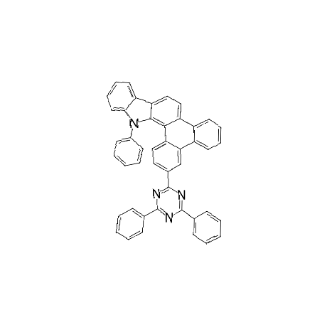 c1ccc(-c2nc(-c3ccccc3)nc(-c3ccc4c(c3)c3ccccc3c3ccc5c6ccccc6n(-c6ccccc6)c5c34)n2)cc1